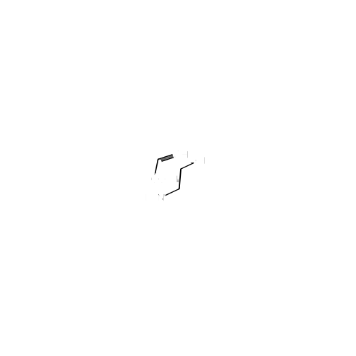 C=CC(=O)O.NCCO